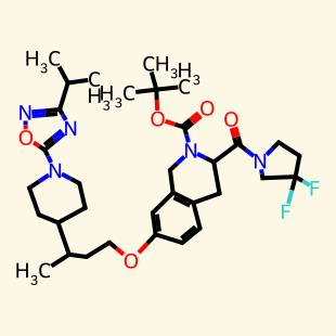 CC(C)c1noc(N2CCC(C(C)CCOc3ccc4c(c3)CN(C(=O)OC(C)(C)C)C(C(=O)N3CCC(F)(F)C3)C4)CC2)n1